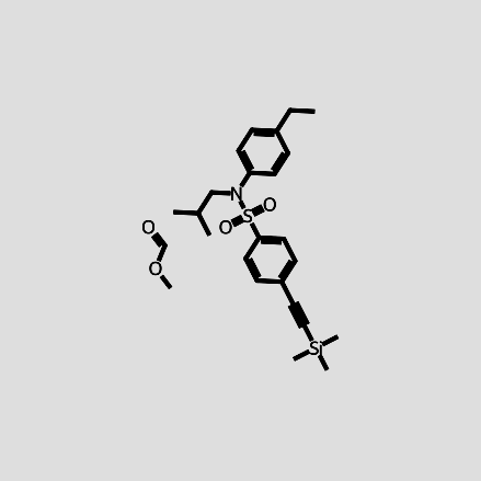 CCc1ccc(N(CC(C)C)S(=O)(=O)c2ccc(C#C[Si](C)(C)C)cc2)cc1.COC=O